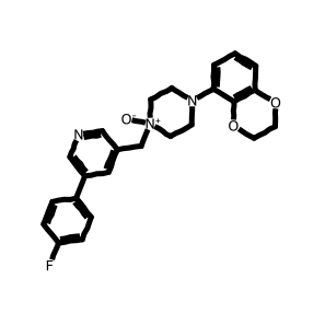 [O-][N+]1(Cc2cncc(-c3ccc(F)cc3)c2)CCN(c2cccc3c2OCCO3)CC1